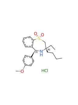 CCCC[C@]1(CC)CS(=O)(=O)c2ccccc2[C@H](c2ccc(OC)cc2)N1.Cl